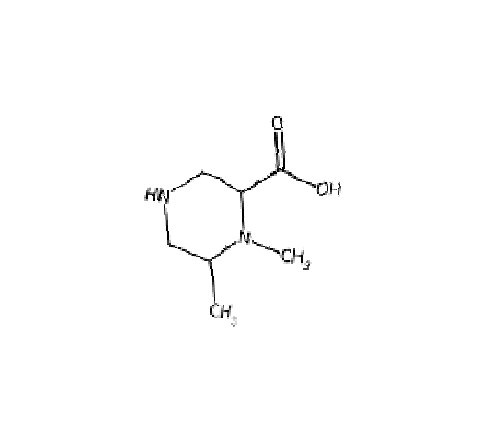 CC1CNCC(C(=O)O)N1C